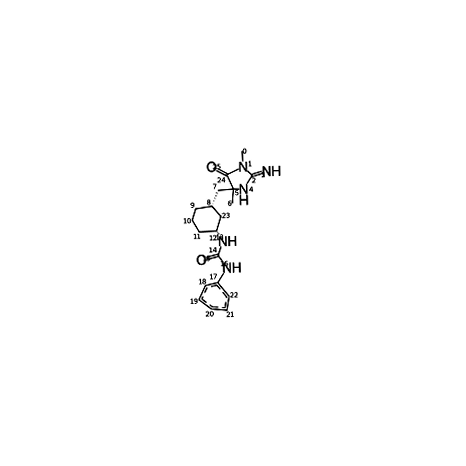 CN1C(=N)NC(C)(C[C@H]2CCC[C@@H](NC(=O)Nc3ccccc3)C2)C1=O